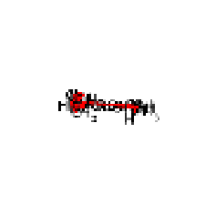 Cc1nc(Nc2ncc(C(=O)Nc3c(C)cccc3Cl)s2)cc(N2CCN(CCOCCOCCOCCOCCOCCOCCOCCNC(=O)c3ccc(C)c(B(O)O)c3)CC2)n1